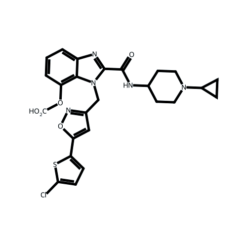 O=C(O)Oc1cccc2nc(C(=O)NC3CCN(C4CC4)CC3)n(Cc3cc(-c4ccc(Cl)s4)on3)c12